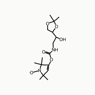 CC1(C)OCC(C(O)CNC(=O)OC2=CC(C)(C)N([O])C2(C)C)O1